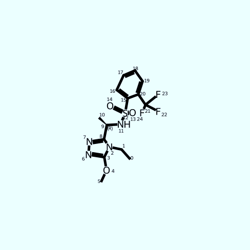 CCn1c(OC)nnc1[C@@H](C)NS(=O)(=O)c1ccccc1C(F)(F)F